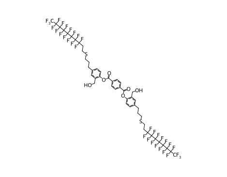 O=C(Oc1ccc(CCCSCCC(F)(F)C(F)(F)C(F)(F)C(F)(F)C(F)(F)C(F)(F)C(F)(F)C(F)(F)F)cc1CO)c1ccc(C(=O)Oc2ccc(CCCSCCC(F)(F)C(F)(F)C(F)(F)C(F)(F)C(F)(F)C(F)(F)C(F)(F)C(F)(F)F)cc2CO)cc1